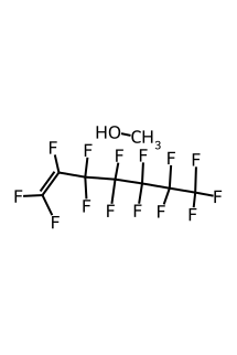 CO.FC(F)=C(F)C(F)(F)C(F)(F)C(F)(F)C(F)(F)C(F)(F)F